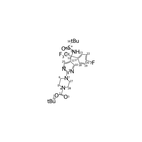 CC(C)(C)OC(=O)N1CCN(c2ncc(C(N[S@+]([O-])C(C)(C)C)(c3ccc(F)cc3)C(F)(F)F)cn2)CC1